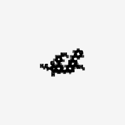 CCc1[nH]c2nc(Sc3cnc4c(N)nc(CN5CCOCC5)nc4c3)nc(N3CC[C@H](N)C3)c2c1Cl